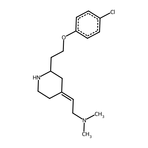 CN(C)CC=C1CCNC(CCOc2ccc(Cl)cc2)C1